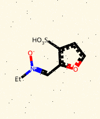 CC[N+]([O-])=Cc1occc1S(=O)(=O)O